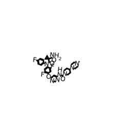 CN1CCN(C2CCN(C(=O)Nc3cc(Oc4cc(F)c(N(C(=O)C5(C(N)=O)CC5)c5ccc(F)cc5)cc4F)ncn3)CC2)CC1